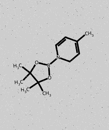 CC1=CCN(B2OC(C)(C)C(C)(C)O2)C=C1